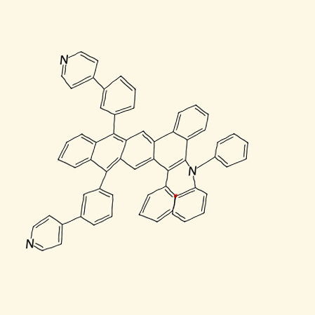 c1ccc(-c2c(N(c3ccccc3)c3ccccc3)c3ccccc3c3cc4c(-c5cccc(-c6ccncc6)c5)c5ccccc5c(-c5cccc(-c6ccncc6)c5)c4cc23)cc1